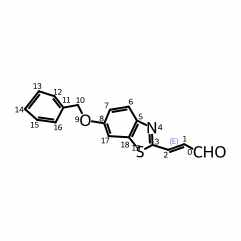 O=C/C=C/c1nc2ccc(OCc3ccccc3)cc2s1